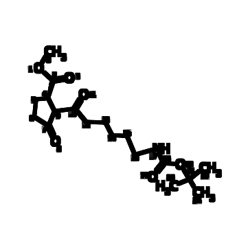 COC(=O)[C@@H]1CCC(=O)C1C(=O)CCCCCNC(=O)OC(C)(C)C